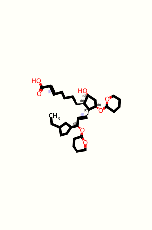 CCC1CCC([C@@H](/C=C/[C@@H]2[C@@H](CCCC/C=C/C(=O)O)[C@@H](O)C[C@H]2OC2CCCCO2)OC2CCCCO2)C1